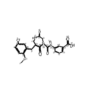 COc1ccc(Cl)cc1CC1CNC(=O)CN(C(=O)Nc2cccc(C(=O)O)c2)C1=O